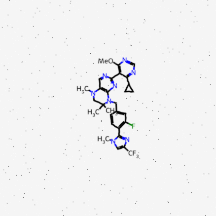 COc1ncnc(C2CC2)c1-c1ncc2c(n1)N(Cc1ccc(-c3nc(C(F)(F)F)cn3C)c(F)c1)C(C)(C)CN2C